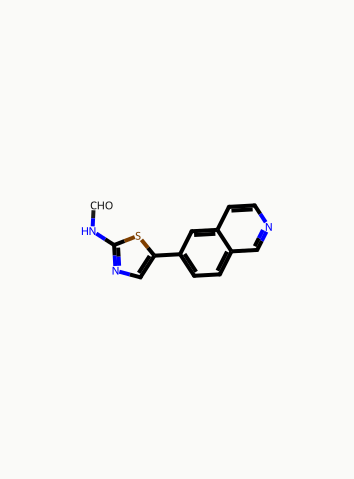 O=CNc1ncc(-c2ccc3cnccc3c2)s1